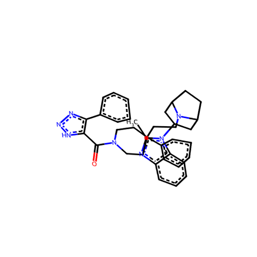 Cc1nc2ccccc2n1C1CC2CCC(C1)N2CCC1(c2ccccc2)CCN(C(=O)c2[nH]nnc2-c2ccccc2)CC1